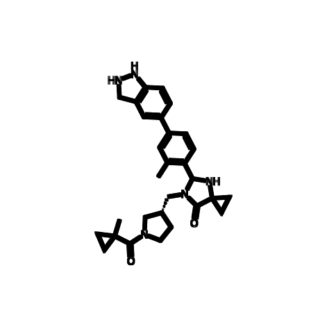 Cc1cc(-c2ccc3c(c2)CNN3)ccc1C1NC2(CC2)C(=O)N1C[C@@H]1CCN(C(=O)C2(C)CC2)C1